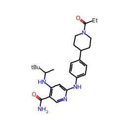 CCC(=O)N1CCC(c2ccc(Nc3cc(NC(C)C(C)(C)C)c(C(N)=O)cn3)cc2)CC1